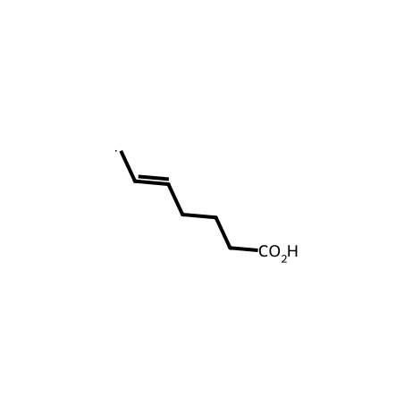 [CH2]C=CCCCC(=O)O